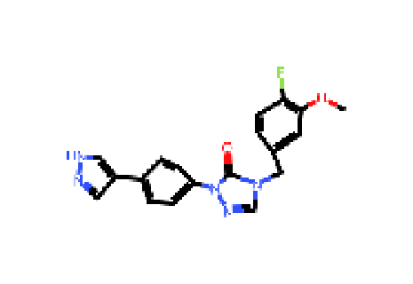 COc1cc(Cn2cnn(-c3ccc(-c4cn[nH]c4)cc3)c2=O)ccc1F